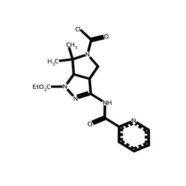 CCOC(=O)N1N=C(NC(=O)c2ccccn2)C2CN(C(=O)Cl)C(C)(C)C21